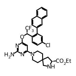 CCOC(=O)[C@@H]1CC2(CCN(c3cc(O[C@H](c4ccc(Cl)cc4-c4ccc5ccccc5c4)C(F)(F)F)nc(N)n3)CC2)CN1